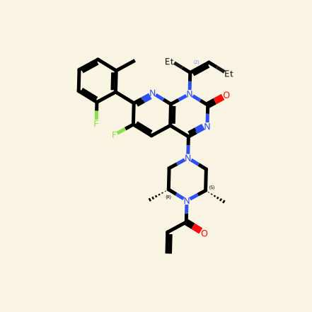 C=CC(=O)N1[C@H](C)CN(c2nc(=O)n(/C(=C\CC)CC)c3nc(-c4c(C)cccc4F)c(F)cc23)C[C@@H]1C